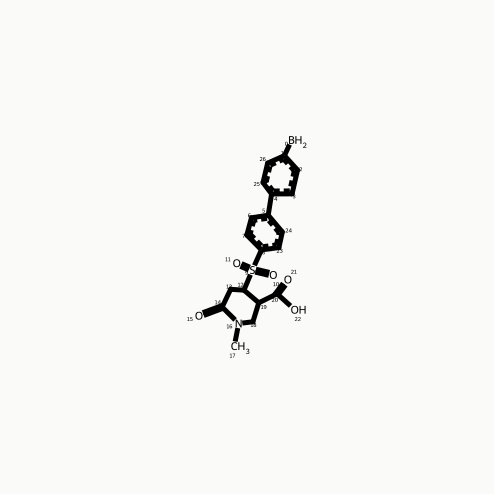 Bc1ccc(-c2ccc(S(=O)(=O)C3CC(=O)N(C)CC3C(=O)O)cc2)cc1